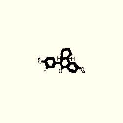 COc1ccc2c(c1)[C@@H]1CCCC[C@@H]1C(c1ccc(OC)c(F)c1)C2=O